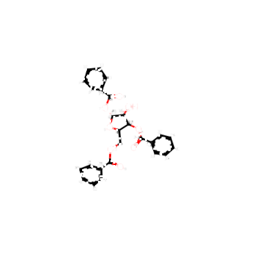 O=C(OCC1O[C@H](OC(=O)c2ccccc2)C(O)C1OC(=O)c1ccccc1)c1ccccc1